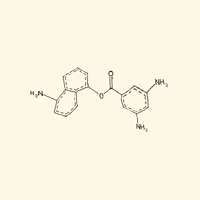 Nc1cc(N)cc(C(=O)Oc2cccc3c(N)cccc23)c1